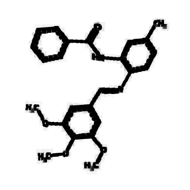 COc1cc(C=Nc2ccc(C)cc2NC(=O)c2ccccc2)cc(OC)c1OC